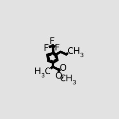 CCCc1cc(C(C)C(=O)OC)ccc1C(F)(F)F